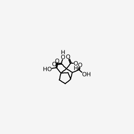 O=C(O)C1C2CCC(C(=O)O)(C2)C1(C(=O)O)C(=O)O